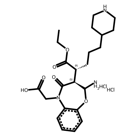 CCOC(=O)[C@H](CCCC1CCNCC1)[C@@H]1C(=O)N(CC(=O)O)c2ccccc2OC1N.Cl.Cl